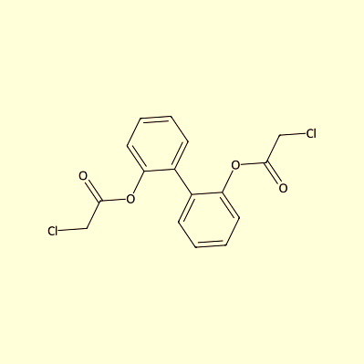 O=C(CCl)Oc1ccccc1-c1ccccc1OC(=O)CCl